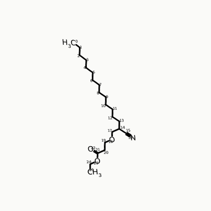 CCCCCCCCCCCCCCC(C#N)COCCC(=O)OCC